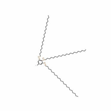 [CH2]c1cc(SCCCCCCCCCCCCCCCCCCCCCC)c(SCCCCCCCCCCCCCCCCCCCCCC)c(SCCCCCCCCCCCCCCCCCCCCCC)c1